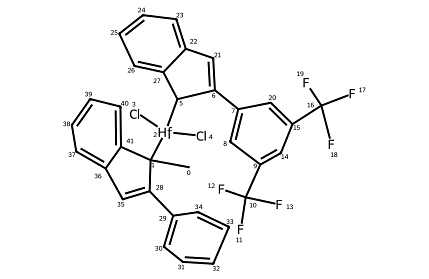 C[C]1([Hf]([Cl])([Cl])[CH]2C(c3cc(C(F)(F)F)cc(C(F)(F)F)c3)=Cc3ccccc32)C(c2ccccc2)=Cc2ccccc21